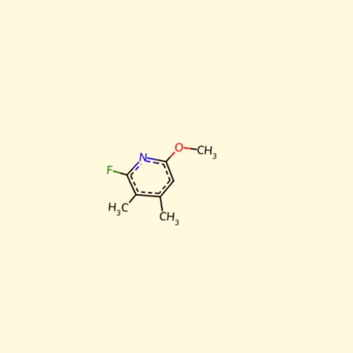 COc1cc(C)c(C)c(F)n1